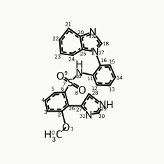 COc1cccc(S(=O)(=O)Nc2ccccc2-n2cnc3ccccc32)c1-c1c[nH]cn1